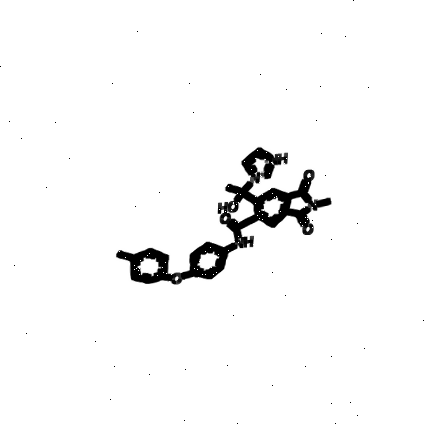 Cc1ccc(Oc2ccc(NC(=O)c3cc4c(cc3C(C)(O)[n+]3cc[nH]c3)C(=O)N(C)C4=O)cc2)cc1